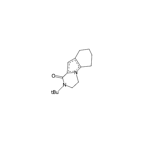 CC(C)(C)N1CCn2c(cc3c2CCCC3)C1=O